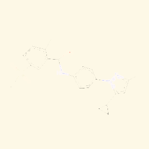 CS(=O)(=O)c1ccc(Cl)c(C(O)Nc2ccc(-n3nc(C(F)(F)F)cc3C3CC3)cc2)c1